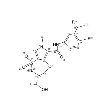 CC(O)[C@H]1COc2c(cn(C)c2C(=O)Nc2ccc(F)c(C(F)F)c2)S(=O)(=O)N1